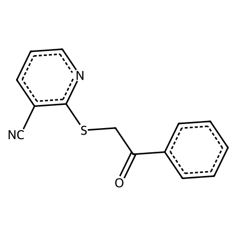 N#Cc1cccnc1SCC(=O)c1ccccc1